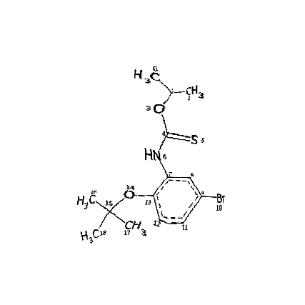 CC(C)OC(=S)Nc1cc(Br)ccc1OC(C)(C)C